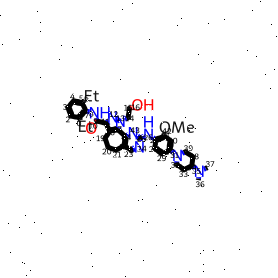 CCc1cccc(CC)c1NC(=O)c1nn(CCO)c2c1CCCc1cnc(Nc3ccc(N4CCC(N(C)C)CC4)cc3OC)nc1-2